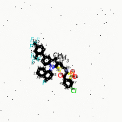 CC1(C)c2cc(-c3ccc(C(F)(F)F)cc3C(F)(F)F)ccc2N(c2ccc(F)c3ccccc23)c2sc(/C=C3\C(=O)c4ccc(Cl)cc4S3(=O)=O)cc21